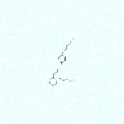 CCCCCCc1ccc(OCCCC2CCCCC2CCCCC)cc1